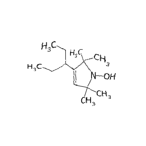 CCC(CC)C1=CC(C)(C)N(O)C1(C)C